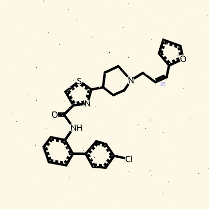 O=C(Nc1ccccc1-c1ccc(Cl)cc1)c1csc(C2CCN(C/C=C\c3ccco3)CC2)n1